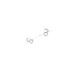 O=C(O)c1cc(=O)c2cccc(OCCCCCOc3cccc4c(=O)cc(C(=O)O)oc34)c2o1